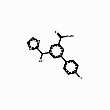 COC(=O)c1cc(-c2ccc(Br)cc2)cc(C(O)c2nccs2)c1